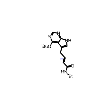 CCNC(=O)/C=C/Cc1c[nH]c2ncnc(OCC(C)C)c12